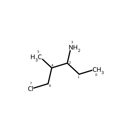 CCC(N)C(C)CCl